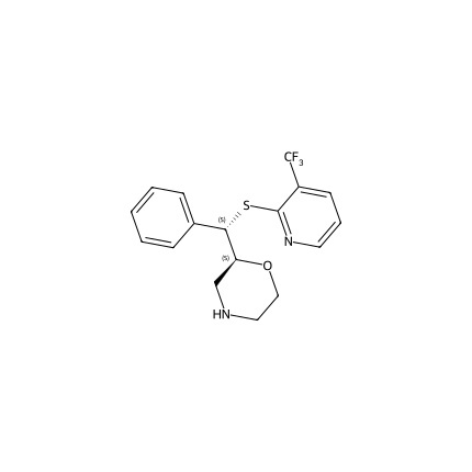 FC(F)(F)c1cccnc1S[C@@H](c1ccccc1)[C@@H]1CNCCO1